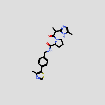 Cc1cnc(C(C)C(=O)N2CCCC2C(=O)NCc2ccc(-c3scnc3C)cc2)[nH]1